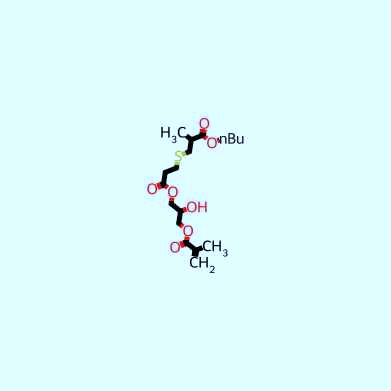 C=C(C)C(=O)OCC(O)COC(=O)CCSCC(C)C(=O)OCCCC